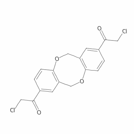 O=C(CCl)c1ccc2c(c1)COc1ccc(C(=O)CCl)cc1CO2